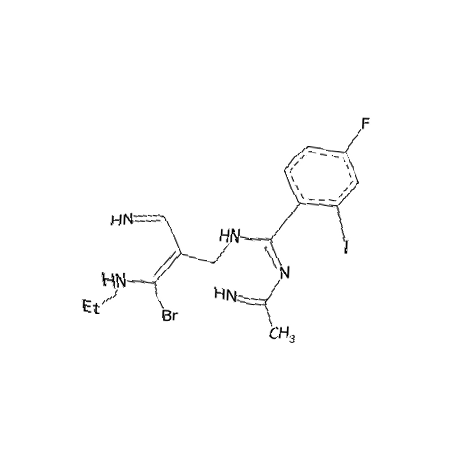 CCN/C(Br)=C(\C=N)CN/C(=N\C(C)=N)c1ccc(F)cc1I